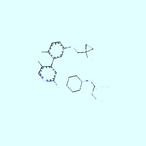 COC[C@@H](C)N[C@H]1CC[C@H](Nc2cc(-c3cc(NCC4(OC)CC4)ccc3F)c(F)cn2)CC1